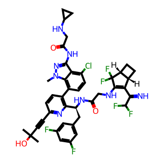 Cn1nc(NC(=O)CNC2CC2)c2c(Cl)ccc(-c3ccc(C#CC(C)(C)O)nc3[C@H](Cc3cc(F)cc(F)c3)NC(=O)CNC3=C(C(=N)C(F)F)[C@H]4CC[C@H]4C3(F)F)c21